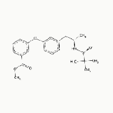 COC(=O)c1cccc(Oc2cccc(C[C@H](C)N[S@@+]([O-])C(C)(C)C)c2)c1